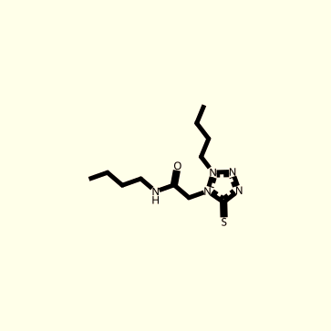 CCCCNC(=O)Cn1c(=S)nnn1CCCC